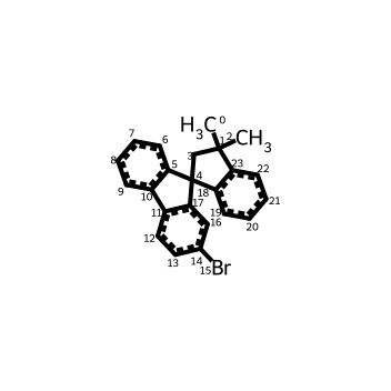 CC1(C)CC2(c3ccccc3-c3ccc(Br)cc32)c2ccccc21